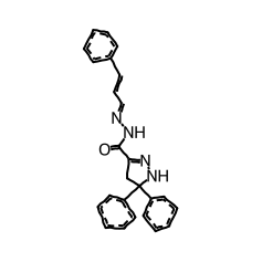 O=C(N/N=C/C=C/c1ccccc1)C1=NNC(c2ccccc2)(c2ccccc2)C1